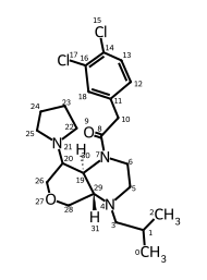 CC(C)CN1CCN(C(=O)Cc2ccc(Cl)c(Cl)c2)[C@@H]2C(N3CCCC3)COC[C@H]21